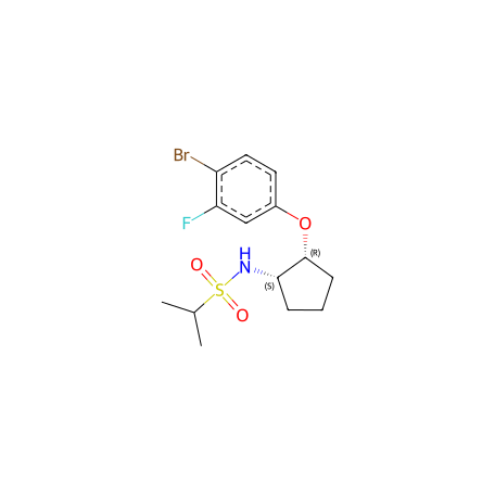 CC(C)S(=O)(=O)N[C@H]1CCC[C@H]1Oc1ccc(Br)c(F)c1